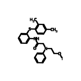 Cc1ccc(Sc2ccccc2NC(=O)CN(CCOI)c2ccccc2)c(C)c1